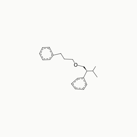 CC(C)[C@H](COCCCc1ccccc1)c1ccccc1